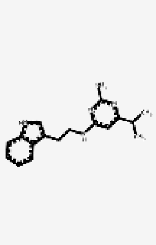 CC(C)c1cc(NCCc2c[nH]c3ccccc23)nc(N)n1